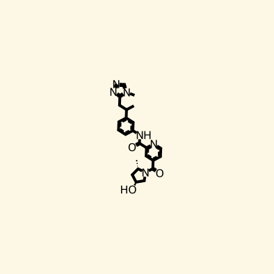 CC(Cc1nncn1C)c1cccc(NC(=O)c2cc(C(=O)N3C[C@@H](O)C[C@@H]3C)ccn2)c1